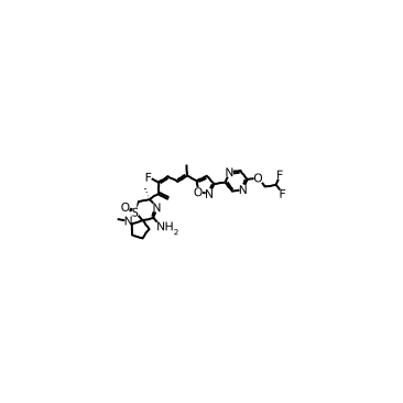 C=C(/C(F)=C\C=C(/C)c1cc(-c2cnc(OCC(F)F)cn2)no1)[C@]1(C)C[S@](=O)(=NC)C2(CCCC2)C(N)=N1